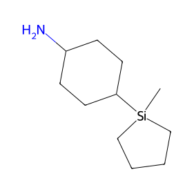 C[Si]1(C2CCC(N)CC2)CCCC1